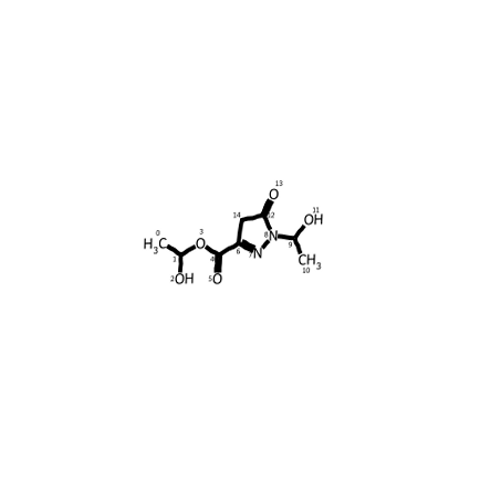 CC(O)OC(=O)C1=NN(C(C)O)C(=O)C1